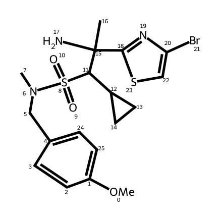 COc1ccc(CN(C)S(=O)(=O)C(C2CC2)C(C)(N)c2nc(Br)cs2)cc1